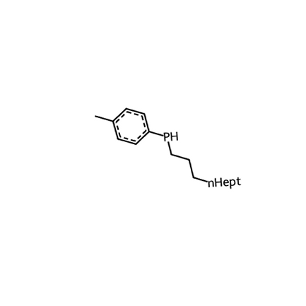 CCCCCCCCCCPc1ccc(C)cc1